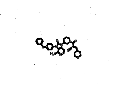 N#CC(=CC1CCSCC1)C(=O)N1CCCC(n2c(=O)n(-c3ccc(Oc4ccccc4)cc3)c3c(N)nccc32)C1